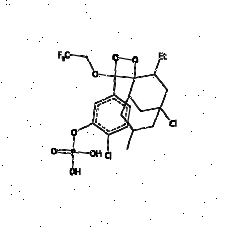 CCC1CC2(Cl)CC(C)CC(C2)C12OOC2(OCC(F)(F)F)c1ccc(Cl)c(OP(=O)(O)O)c1